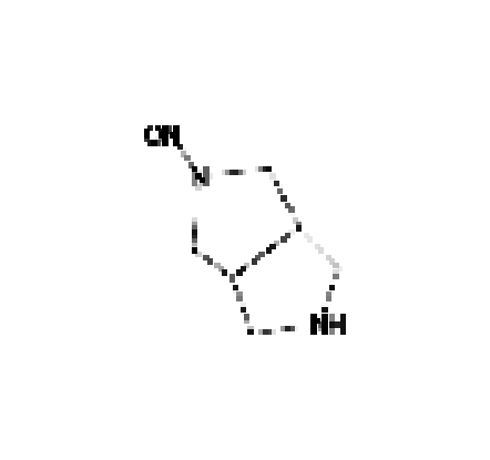 O=NN1CC2CNCC2C1